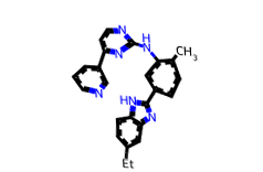 CCc1ccc2[nH]c(-c3ccc(C)c(Nc4nccc(-c5cccnc5)n4)c3)nc2c1